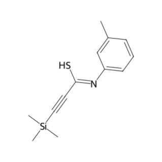 Cc1cccc(N=C(S)C#C[Si](C)(C)C)c1